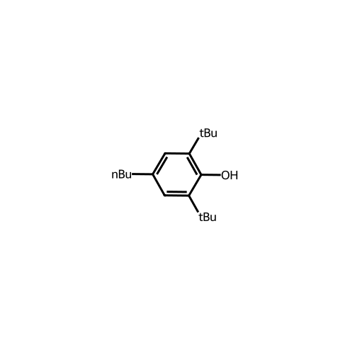 CCCCc1cc(C(C)(C)C)c(O)c(C(C)(C)C)c1